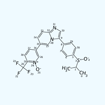 CC(C)[S+]([O-])c1ccc(-c2cnc3ccc(-c4ccc(C(F)(F)F)[n+]([O-])c4)cn23)cc1